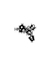 CC1COCCN1c1nc(N2CC3CCC(C2)O3)nc2[nH]c(-c3cccc4[nH]ccc34)nc12